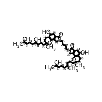 CC(C)=CCC/C(C)=C/CC[C@@]1(C)CCc2c(O)cc3c(c2O1)CN(CCCCN1Cc2c(cc(O)c4c2O[C@@](C)(CC/C=C(\C)CCC=C(C)C)CC4)C1=O)C3=O